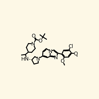 COc1cc(OC)c(-c2cn3ccc(N4CC[C@H](NC(C)C5CCN(C(=O)OC(C)(C)C)CC5)C4)cc3n2)cc1Cl